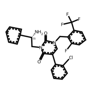 N[C@H](Cn1c(=O)c(-c2ccccc2Cl)cn(Cc2c(F)cccc2C(F)(F)F)c1=O)c1ccccc1